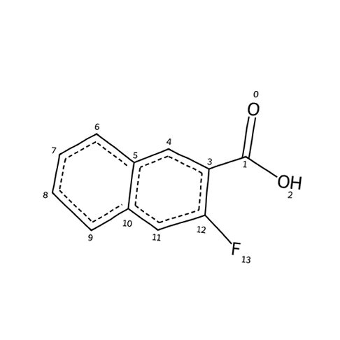 O=C(O)c1cc2ccccc2cc1F